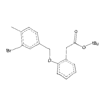 Cc1ccc(COc2ccccc2CC(=O)OC(C)(C)C)cc1Br